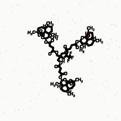 C[C@H]1[C@H](OC(=O)CCC(=O)OCC(COC(=O)CCC(=O)O[C@@H]2O[C@@H]3O[C@@]4(C)CC[C@H]5[C@H](C)CC[C@@H]([C@H]2C)[C@@]35OO4)(COC(=O)CCC(=O)O[C@@H]2O[C@@H]3O[C@@]4(C)CC[C@H]5[C@H](C)CC[C@@](C)([C@H]2C)[C@@]35OO4)NC(=O)C(F)(F)F)O[C@@H]2O[C@@]3(C)CC[C@H]4[C@H](C)CC[C@@H]1[C@@]24OO3